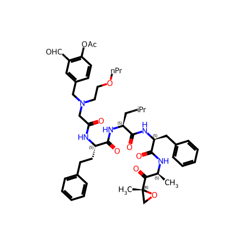 CCCOCCN(CC(=O)N[C@@H](CCc1ccccc1)C(=O)N[C@@H](CC(C)C)C(=O)N[C@@H](Cc1ccccc1)C(=O)N[C@@H](C)C(=O)[C@@]1(C)CO1)Cc1ccc(OC(C)=O)c(C=O)c1